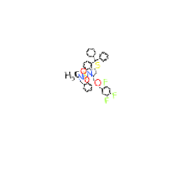 CN(Cc1ccccc1)S(=O)(=O)N1C[C@H](SC(c2ccccc2)(c2ccccc2)c2ccccc2)C[C@H]1COCc1cc(F)c(F)cc1F